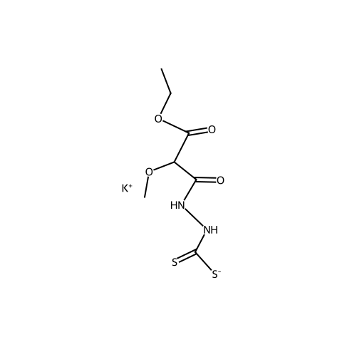 CCOC(=O)C(OC)C(=O)NNC(=S)[S-].[K+]